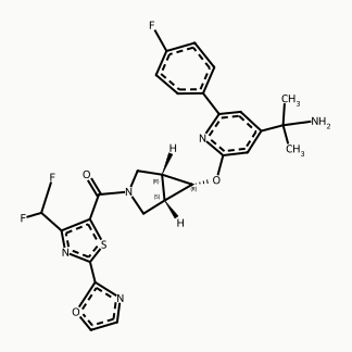 CC(C)(N)c1cc(O[C@@H]2[C@@H]3CN(C(=O)c4sc(-c5ncco5)nc4C(F)F)C[C@@H]32)nc(-c2ccc(F)cc2)c1